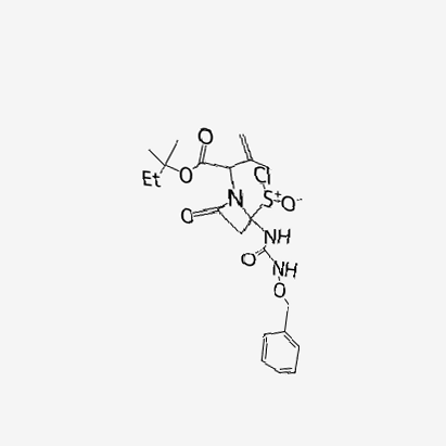 C=C(C)C(C(=O)OC(C)(C)CC)N1C(=O)CC1(NC(=O)NOCc1ccccc1)[S+]([O-])Cl